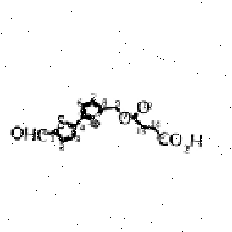 O=Cc1ccc(-c2ccc(COC(=O)CCC(=O)O)s2)s1